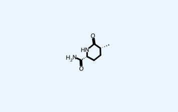 C[C@@H]1CC[C@H](C(N)=O)NC1=O